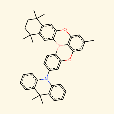 Cc1cc2c3c(c1)Oc1cc4c(cc1B3c1ccc(N3c5ccccc5C(C)(C)c5ccccc53)cc1O2)C(C)(C)CCC4(C)C